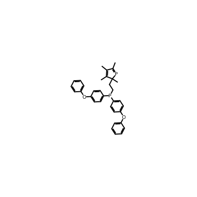 CC1=PC(C)(CCP(c2ccc(Oc3ccccc3)cc2)c2ccc(Oc3ccccc3)cc2)C(C)=C1C